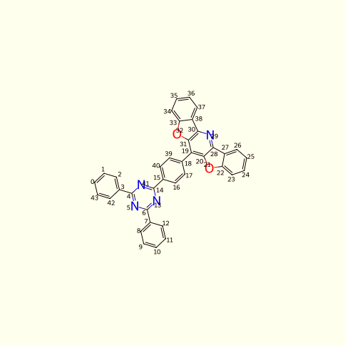 c1ccc(-c2nc(-c3ccccc3)nc(-c3ccc(-c4c5oc6ccccc6c5nc5c4oc4ccccc45)cc3)n2)cc1